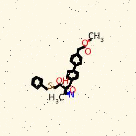 CCOC(=O)Cc1ccc(-c2ccc(-c3onc(C)c3[C@H](O)CSCc3ccccc3)cc2)cc1